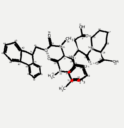 CC(C)[C@@H](C(=O)N[C@@H](CC(=O)O)C(=O)N1CCCC[C@H]1C(=O)O)N(C)C(=O)[C@H](Cc1ccccc1)N(C)C(=O)OCC1c2ccccc2-c2ccccc21